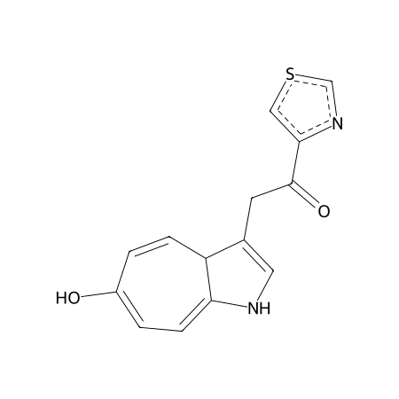 O=C(CC1=CNC2=CC=C(O)C=CC12)c1cscn1